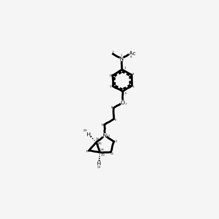 CC(=O)N(C)c1ccc(OCCCN2CC[C@H]3C[C@H]32)cc1